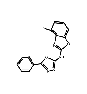 Fc1cccc2oc(Nc3nnc(-c4ccccc4)o3)nc12